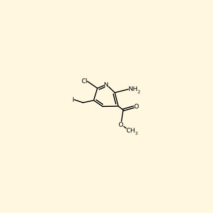 COC(=O)c1cc(CI)c(Cl)nc1N